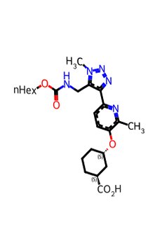 CCCCCCOC(=O)NCc1c(-c2ccc(O[C@H]3CCC[C@H](C(=O)O)C3)c(C)n2)nnn1C